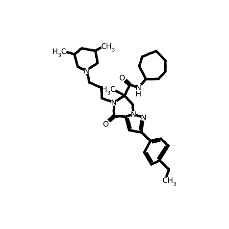 CCc1ccc(-c2cc3n(n2)CC(C)(C(=O)NC2CCCCCC2)N(CCCN2CC(C)CC(C)C2)C3=O)cc1